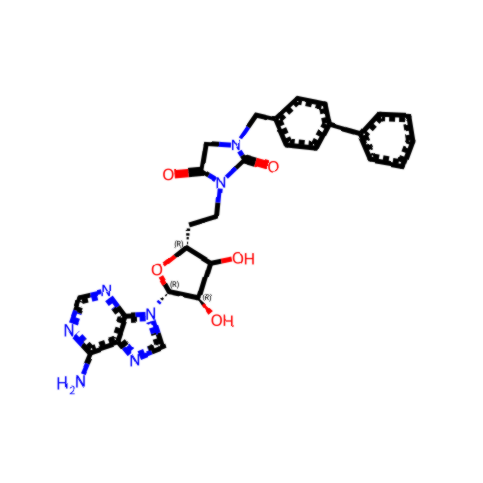 Nc1ncnc2c1ncn2[C@@H]1O[C@H](CCN2C(=O)CN(Cc3ccc(-c4ccccc4)cc3)C2=O)C(O)[C@H]1O